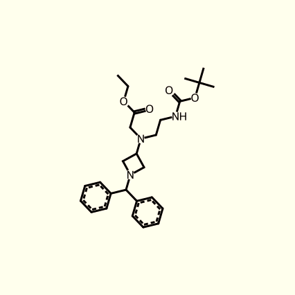 CCOC(=O)CN(CCNC(=O)OC(C)(C)C)C1CN(C(c2ccccc2)c2ccccc2)C1